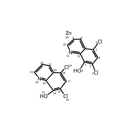 Oc1c(Cl)cc(Cl)c2cccnc12.Oc1c(Cl)cc(Cl)c2cccnc12.[Zn]